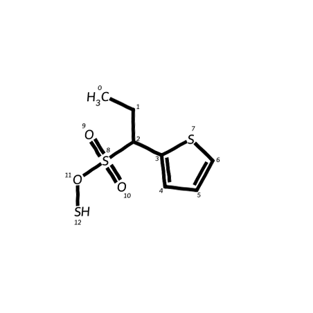 CCC(c1cccs1)S(=O)(=O)OS